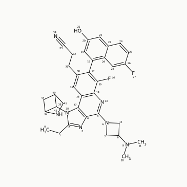 CCc1nc2c(N3CC(N(C)C)C3)nc3c(F)c(-c4cc(O)cc5ccc(F)cc45)c(CCC#N)cc3c2n1C1C2CNC1C2